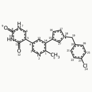 Cc1ncc(-c2c[nH]c(=O)[nH]c2=O)cc1-c1ccn(Cc2ccc(Cl)cc2)c1